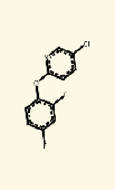 Fc1ccc(Oc2ccc(Cl)cn2)c(F)c1